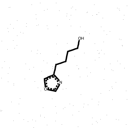 OCCCCc1cocn1